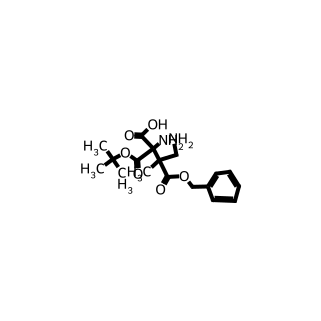 CC(C)(C)OC(=O)C(N)(C(=O)O)C(C)(CN)C(=O)OCc1ccccc1